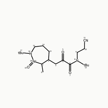 CC1C(CC(=O)C(=O)N(CCC#N)C(C)(C)C)CCCN(C(C)(C)C)[N+]1=O